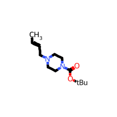 C/C=C/CN1CCN(C(=O)OC(C)(C)C)CC1